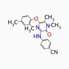 Cc1ccc(Oc2nc(Nc3ccc(C#N)cc3)c(=O)n(C)c2C)c(C)c1